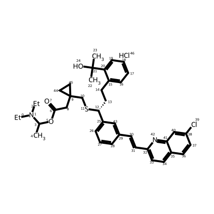 CCN(CC)C(C)OC(=O)CC1(CS[C@H](CCc2ccccc2C(C)(C)O)c2cccc(C=Cc3ccc4ccc(Cl)cc4n3)c2)CC1.Cl